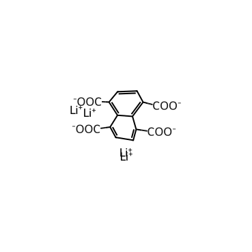 O=C([O-])c1ccc(C(=O)[O-])c2c(C(=O)[O-])ccc(C(=O)[O-])c12.[Li+].[Li+].[Li+].[Li+]